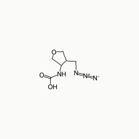 [N-]=[N+]=NCC1COCC1NC(=O)O